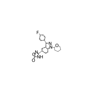 O=c1[nH]c(-c2ccc3c(c2)c(-c2ccc(F)cc2)nn3C2CCCCO2)no1